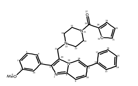 COc1cccc(-c2nc3ccc(-c4ccccc4)cn3c2CN2CCN(C(=O)c3ccco3)CC2)c1